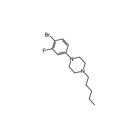 CCCCCN1CCN(c2ccc(Br)c(F)c2)CC1